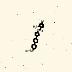 CCCCCC1CCC(C2CCC(c3ccc(OC(=O)c4ccc(N)cc4N)cc3)CC2)CC1